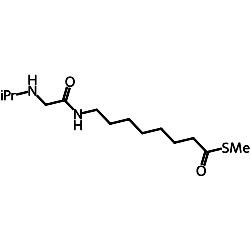 CSC(=O)CCCCCCCNC(=O)CNC(C)C